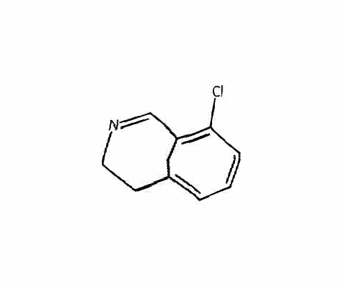 Clc1cccc2c1C=NCC2